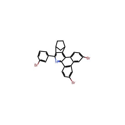 Brc1cccc(-c2nc3c4ccc(Br)cc4c4cc(Br)ccc4c3c3c2C2CCC3C2)c1